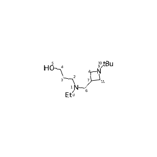 CCN(CCCO)CC1CN(C(C)(C)C)C1